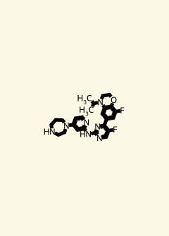 CC(C)N1CCOc2c(F)cc(-c3nc(Nc4cc(N5CCCNCC5)ccn4)ncc3F)cc21